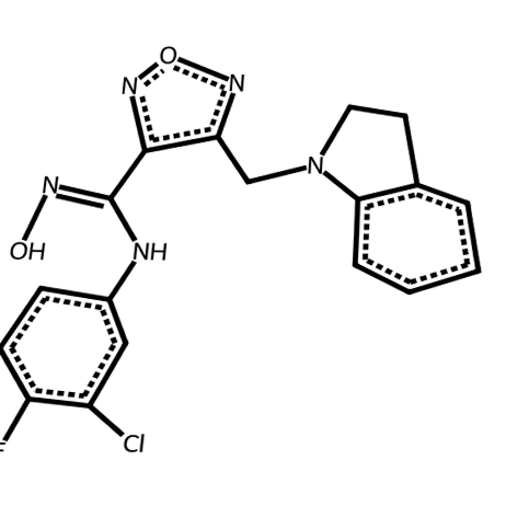 O/N=C(\Nc1ccc(F)c(Cl)c1)c1nonc1CN1CCc2ccccc21